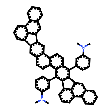 CN(C)c1cccc(-c2c3c(c(-c4cccc(N(C)C)c4)c4c2ccc2c5cc6c(cc5ccc24)-c2cccc4c2c-6cc2ccccc24)-c2cccc4c2c-3cc2ccccc24)c1